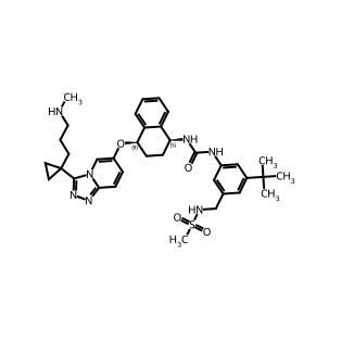 CNCCCC1(c2nnc3ccc(O[C@@H]4CC[C@H](NC(=O)Nc5cc(CNS(C)(=O)=O)cc(C(C)(C)C)c5)c5ccccc54)cn23)CC1